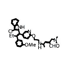 CC/C(=C(/c1ccc(OCCNC(C)/C=C(\C=O)CN(C)C)nc1)c1[nH]c2ccccc2c1Cl)c1cccc(OC)c1